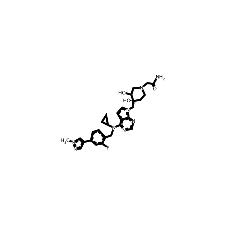 Cn1cc(-c2ccc(CN(c3ncnc4c3ccn4C[C@]3(O)CCN(CC(N)=O)CC3O)C3CC3)c(F)c2)cn1